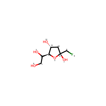 OCC(O)[C@@H]1O[C@@](O)(CF)C[C@H]1O